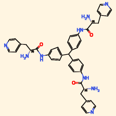 N[C@H](Cc1ccncc1)C(=O)Nc1ccc(C(c2ccc(NC(=O)[C@H](N)Cc3ccncc3)cc2)c2ccc(NC(=O)[C@H](N)Cc3ccncc3)cc2)cc1